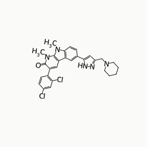 Cn1c(=O)c(-c2ccc(Cl)cc2Cl)cc2c3cc(-c4cc(CN5CCCCC5)n[nH]4)ccc3n(C)c21